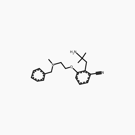 CN(CCOc1cccc(C#N)c1CC(C)(C)N)Cc1ccccc1